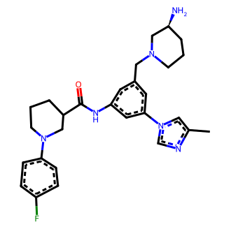 Cc1cn(-c2cc(CN3CCC[C@H](N)C3)cc(NC(=O)C3CCCN(c4ccc(F)cc4)C3)c2)cn1